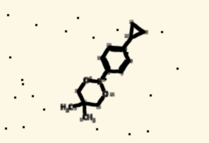 CC1(C)COB(c2ccc(C3CC3)cc2)OC1